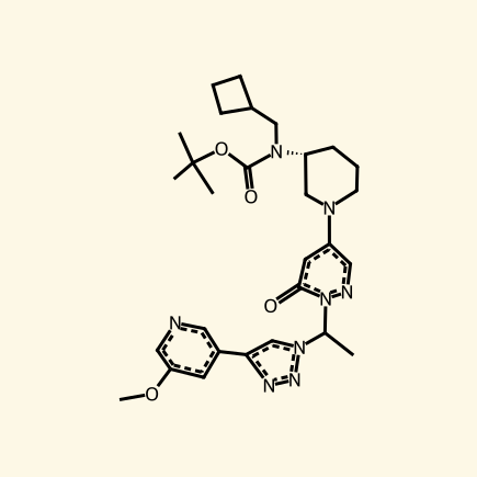 COc1cncc(-c2cn(C(C)n3ncc(N4CCC[C@@H](N(CC5CCC5)C(=O)OC(C)(C)C)C4)cc3=O)nn2)c1